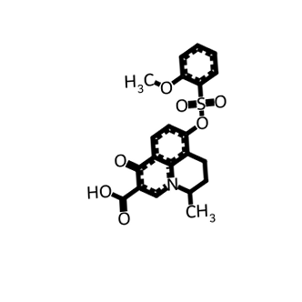 COc1ccccc1S(=O)(=O)Oc1ccc2c(=O)c(C(=O)O)cn3c2c1CCC3C